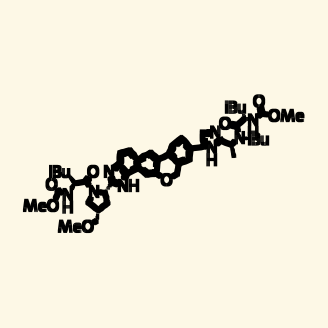 CC[C@H](C)[C@H](NC(=O)OC)C(=O)N1C[C@@H](COC)C[C@H]1c1nc2ccc3cc4c(cc3c2[nH]1)OCc1cc(-c2cnc([C@H](C)N(C(=O)[C@@H](NC(=O)OC)[C@@H](C)CC)[C@@H](C)CC)[nH]2)ccc1-4